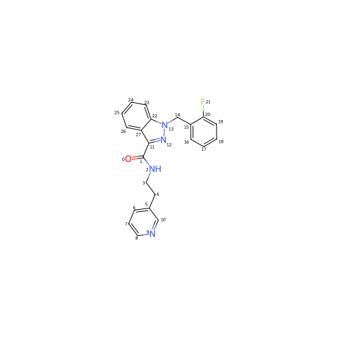 O=C(NCCc1cccnc1)c1nn(Cc2ccccc2F)c2ccccc12